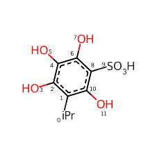 CC(C)c1c(O)c(O)c(O)c(S(=O)(=O)O)c1O